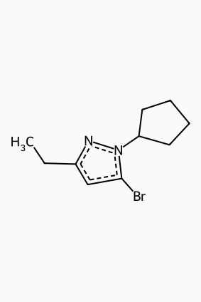 CCc1cc(Br)n(C2CCCC2)n1